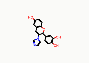 Oc1ccc2c(c1)C=C(n1ccnc1)C(c1ccc(O)c(O)c1)O2